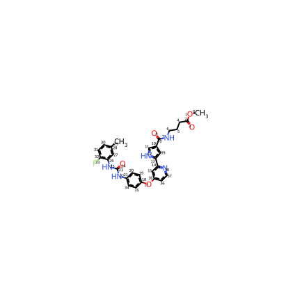 COC(=O)CCCNC(=O)c1c[nH]c(-c2cc(Oc3ccc(NC(=O)Nc4cc(C)ccc4F)cc3)ccn2)c1